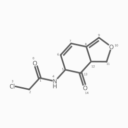 O=C(CCl)NC1C=CC2=COCC2C1=O